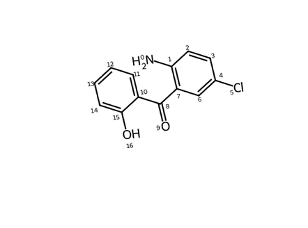 Nc1ccc(Cl)cc1C(=O)c1ccccc1O